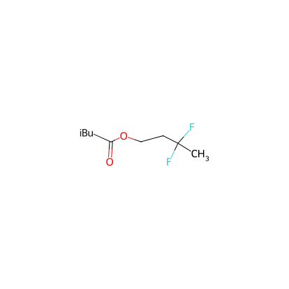 CCC(C)C(=O)OCCC(C)(F)F